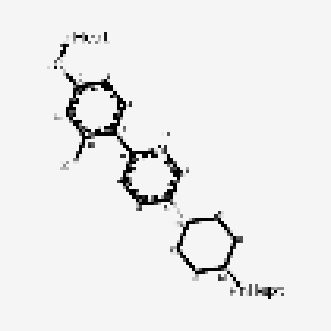 CCCCCCCOc1ccc(-c2ccc([C@H]3CC[C@H](CCCCCCC)CC3)cn2)c(F)c1